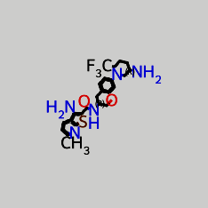 Cc1ccc2c(N)c(C(=O)N[C@H]3COc4cc(N5C[C@H](N)CCC5C(F)(F)F)ccc4C3)sc2n1